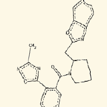 Cc1noc(-c2ccccc2C(=O)N2CCCCC2Cc2nc3ccccc3o2)n1